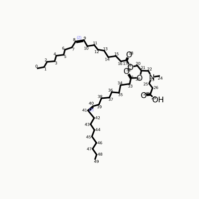 CCCCCCCC/C=C\CCCCCCCC(=O)OCC(CN(C)CCC(=O)O)OC(=O)CCCCCCC/C=C\CCCCCCCC